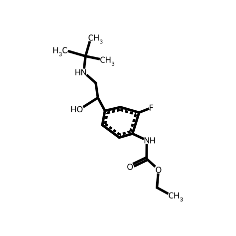 CCOC(=O)Nc1ccc(C(O)CNC(C)(C)C)cc1F